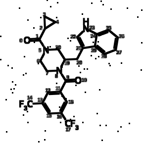 O=C(C1CC1)N1CCN(C(=O)c2cc(C(F)(F)F)cc(C(F)(F)F)c2)C(Cc2c[nH]c3ccccc23)C1